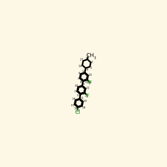 CC1CCC(c2ccc(-c3ccc(-c4ccc(Cl)cc4)c(F)c3)c(F)c2)CC1